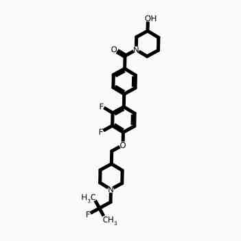 CC(C)(F)CN1CCC(COc2ccc(-c3ccc(C(=O)N4CCCC(O)C4)cc3)c(F)c2F)CC1